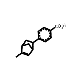 CC1=CC2CC1CC2c1ccc(C(=O)O)cc1